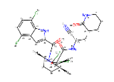 N#C[C@H](C[C@H]1CCCNC1=O)NC(=O)[C@@H]1[C@@H]2CC[C@@H](CC2(F)F)N1C(=O)c1cc2c(F)ccc(Cl)c2[nH]1